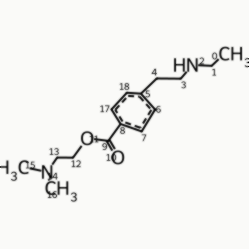 CCNCCc1ccc(C(=O)OCCN(C)C)cc1